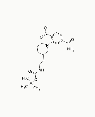 CC(C)(C)OC(=O)NCCC1CCCN(c2cc(C(N)=O)ccc2[N+](=O)[O-])C1